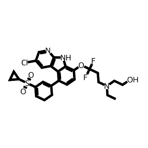 CCN(CCO)CCC(F)(F)Oc1ccc(C2=CC(S(=O)(=O)C3CC3)=CCC2)c2c1[nH]c1ncc(Cl)cc12